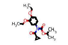 CCOc1ccc(N(C(=O)OC(C)C)C(=O)C2CC2)cc1OCC